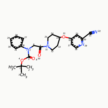 CC(C)(C)OC(=O)N(CC(=O)N1CCC(Oc2ccnc(C#N)c2)CC1)c1ccccc1